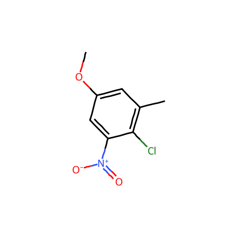 COc1cc(C)c(Cl)c([N+](=O)[O-])c1